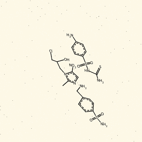 Cc1ncc([N+](=O)[O-])n1CC(O)CCl.NC(=S)NS(=O)(=O)c1ccc(N)cc1.NCc1ccc(S(N)(=O)=O)cc1